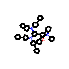 c1ccc(-c2ccc(N(c3ccc(-c4ccccc4)cc3)c3cc(-c4cc5c6ccccc6n(-c6ccccc6)c5c5oc6ccccc6c45)cc(N(c4ccc(-c5ccccc5)cc4)c4ccc5ccccc5c4)c3)cc2)cc1